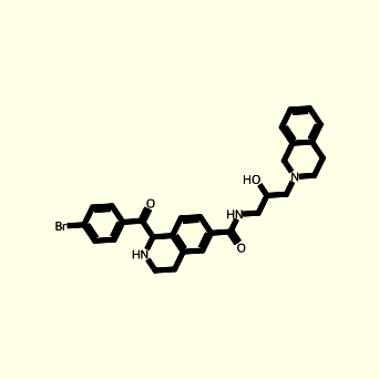 O=C(NCC(O)CN1CCc2ccccc2C1)c1ccc2c(c1)CCNC2C(=O)c1ccc(Br)cc1